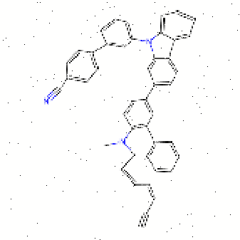 C#C/C=C\C=C/CN(C)c1ccc(-c2ccc3c4ccccc4n(-c4cccc(-c5ccc(C#N)cc5)c4)c3c2)cc1-c1ccccc1